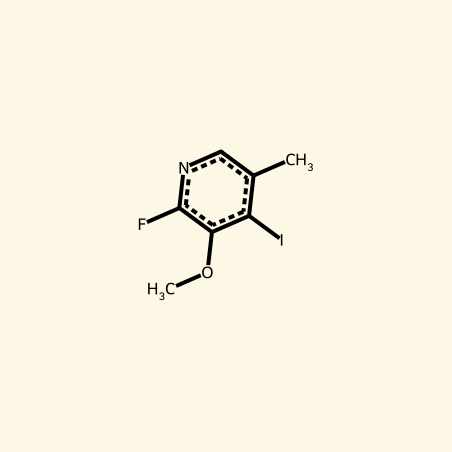 COc1c(F)ncc(C)c1I